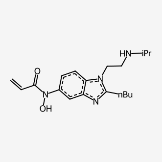 C=CC(=O)N(O)c1ccc2c(c1)nc(CCCC)n2CCNC(C)C